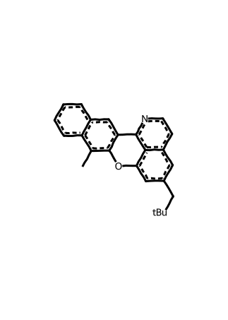 Cc1c2c(cc3ccccc13)-c1nccc3cc(CC(C)(C)C)cc(c13)O2